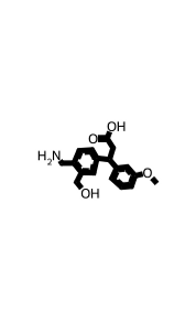 COc1cccc(C(CC(=O)O)c2ccc(CN)c(CO)c2)c1